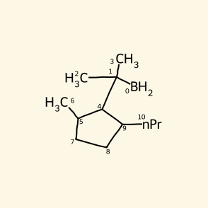 BC(C)(C)C1C(C)CCC1CCC